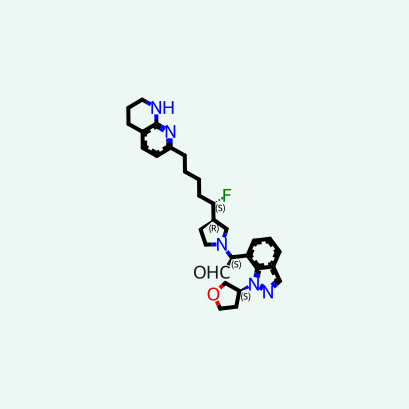 O=C[C@H](c1cccc2cnn([C@H]3CCOC3)c12)N1CC[C@@H]([C@@H](F)CCCCc2ccc3c(n2)NCCC3)C1